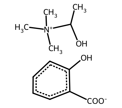 CC(O)[N+](C)(C)C.O=C([O-])c1ccccc1O